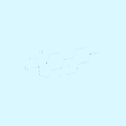 CC12CC[C@@H]3[C@@H](CCC4=CC(=O)CC[C@@]43C)[C@H]1CCC2(O)C#N